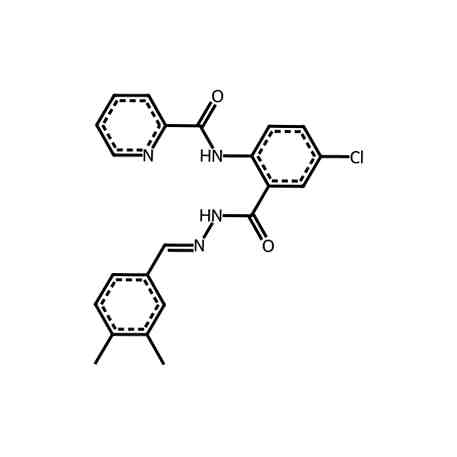 Cc1ccc(C=NNC(=O)c2cc(Cl)ccc2NC(=O)c2ccccn2)cc1C